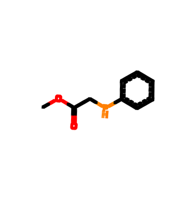 COC(=O)CPc1ccccc1